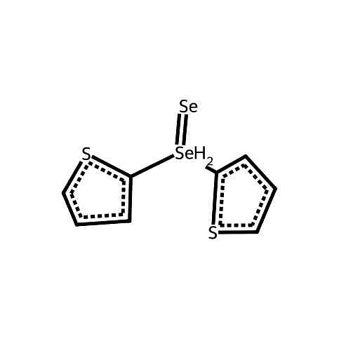 [Se]=[SeH2](c1cccs1)c1cccs1